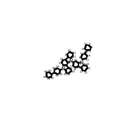 c1ccc(-c2ccc(-n3c4ccccc4c4ccc(-n5c6ccccc6c6ccc7c(c8ccccc8n7-c7ccc(-c8ccccc8)cc7)c65)cc43)cc2)cc1